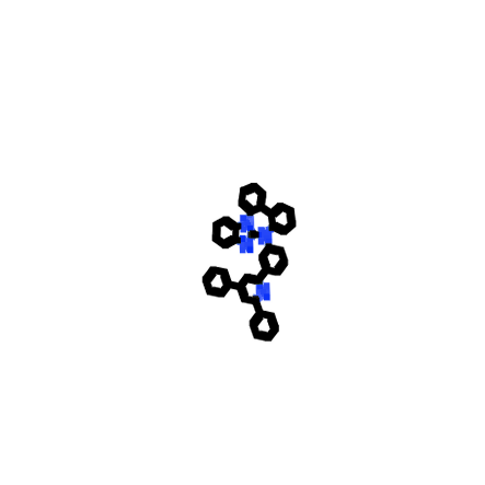 c1ccc(-c2cc(-c3ccccc3)nc(-c3cccc(N4c5ccccc5-c5ccccc5-n5c4nc4ccccc45)c3)c2)cc1